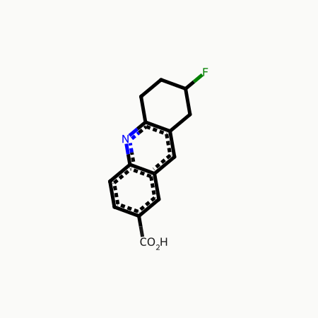 O=C(O)c1ccc2nc3c(cc2c1)CC(F)CC3